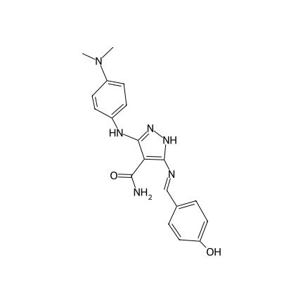 CN(C)c1ccc(Nc2n[nH]c(N=Cc3ccc(O)cc3)c2C(N)=O)cc1